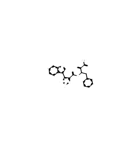 NC(=O)C(=O)C(Cc1ccccc1)NC(=O)c1nnsc1-c1coc2ccccc12